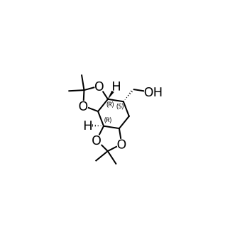 CC1(C)OC2C[C@@H](CO)[C@H]3OC(C)(C)OC3[C@@H]2O1